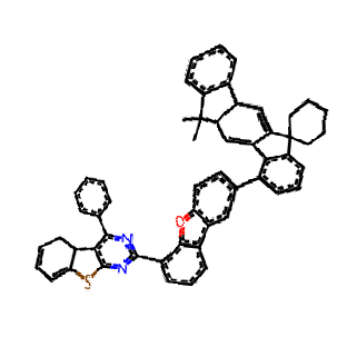 CC1(C)c2ccccc2C2C=C3C(=CC21)c1c(-c2ccc4oc5c(-c6nc7c(c(-c8ccccc8)n6)C6CC=CC=C6S7)cccc5c4c2)cccc1C31CCCCC1